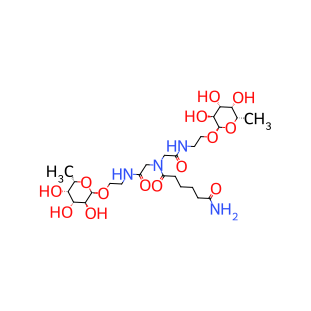 C[C@@H]1O[C@@H](OCCNC(=O)CN(CC(=O)NCCO[C@@H]2O[C@@H](C)[C@@H](O)[C@@H](O)[C@@H]2O)C(=O)CCCCC(N)=O)[C@@H](O)[C@H](O)[C@@H]1O